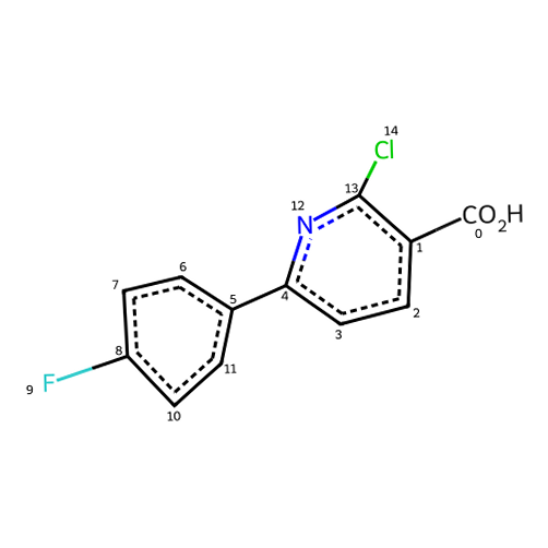 O=C(O)c1ccc(-c2ccc(F)cc2)nc1Cl